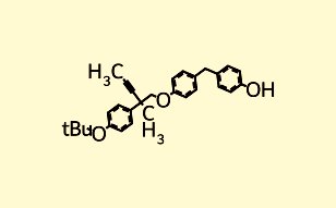 CC#CC(C)(COc1ccc(Cc2ccc(O)cc2)cc1)c1ccc(OC(C)(C)C)cc1